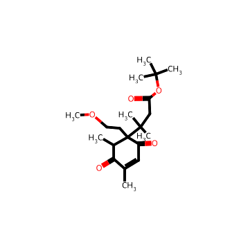 COCCC1(C(C)(C)CC(=O)OC(C)(C)C)C(=O)C=C(C)C(=O)C1C